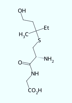 CCC(C)(CCO)SC[C@H](N)C(=O)NCC(=O)O